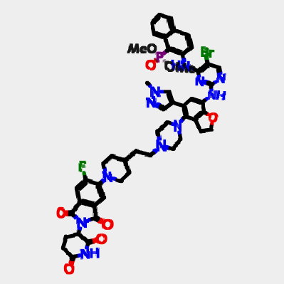 COP(=O)(OC)c1c(Nc2nc(Nc3cc(-c4cnn(C)c4)c(N4CCN(CCC5CCN(c6cc7c(cc6F)C(=O)N(C6CCC(=O)NC6=O)C7=O)CC5)CC4)c4c3OCC4)ncc2Br)ccc2ccccc12